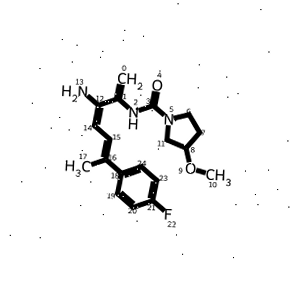 C=C(NC(=O)N1CCC(OC)C1)/C(N)=C\C=C(/C)c1ccc(F)cc1